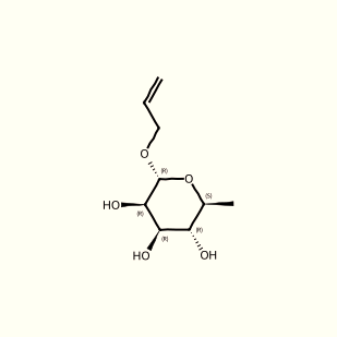 C=CCO[C@@H]1O[C@@H](C)[C@H](O)[C@@H](O)[C@H]1O